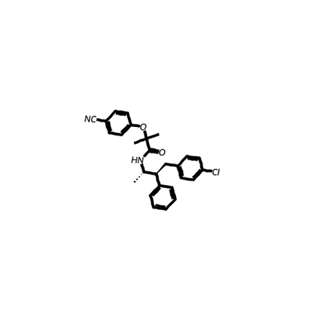 C[C@H](NC(=O)C(C)(C)Oc1ccc(C#N)cc1)[C@@H](Cc1ccc(Cl)cc1)c1ccccc1